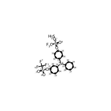 O=S(=O)(O)C(F)(F)F.O=S(=O)([O-])C(F)(F)F.S.c1ccc([S+](c2ccccc2)c2ccccc2)cc1